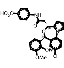 COc1cccc([C@H]2O[C@H](CC(=O)Nc3ccc(C(=O)O)cc3)c3cccn3-c3ccc(Cl)cc32)c1OC